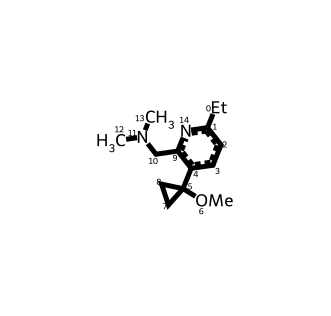 CCc1ccc(C2(OC)CC2)c(CN(C)C)n1